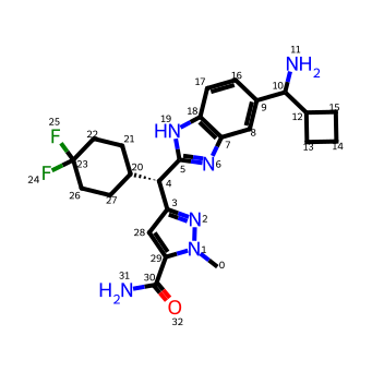 Cn1nc([C@@H](c2nc3cc(C(N)C4CCC4)ccc3[nH]2)C2CCC(F)(F)CC2)cc1C(N)=O